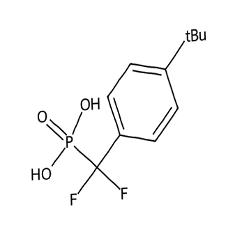 CC(C)(C)c1ccc(C(F)(F)P(=O)(O)O)cc1